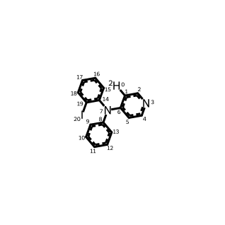 [2H]c1cnccc1N(c1ccccc1)c1ccccc1I